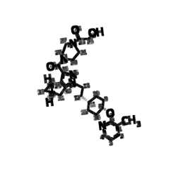 Cc1cccnc1O[C@H]1CC[C@@H](CCn2nc(C(=O)N3CCN(C(=O)CO)CC3)c3c2C[C@H]2C[C@@H]32)CC1